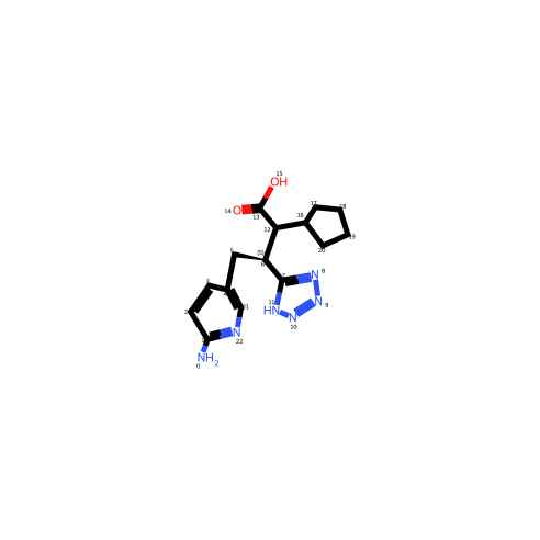 Nc1ccc(C[C@H](c2nnn[nH]2)C(C(=O)O)C2CCCC2)cn1